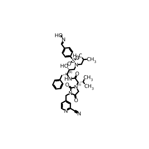 CC(C)CN(C[C@@H](O)[C@@H](Cc1ccccc1)NC(=O)[C@H](C(C)C)N1CC(=O)N(Cc2ccnc(C#N)c2)C1=O)S(=O)(=O)c1ccc(C=NO)cc1